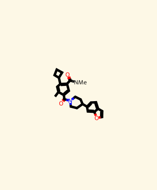 CNC(=O)c1cc(C(=O)N2CCC(c3ccc4ccoc4c3)CC2)c(C)cc1C1CCC1